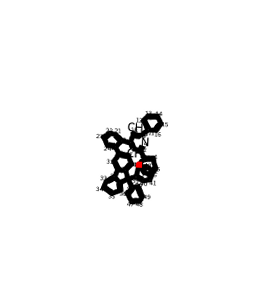 Cc1c(-c2ccccc2)nc(-c2ccccc2)c(C)c1-c1ccccc1-c1ccc2c(c1)-c1ccccc1C2(c1ccccc1)c1ccccc1